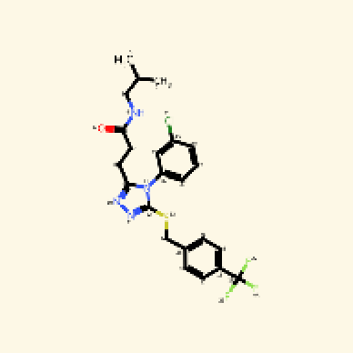 CC(C)CNC(=O)CCc1nnc(SCc2ccc(C(F)(F)F)cc2)n1-c1cccc(Cl)c1